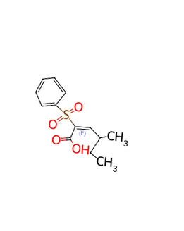 CCC(C)/C=C(\C(=O)O)S(=O)(=O)c1ccccc1